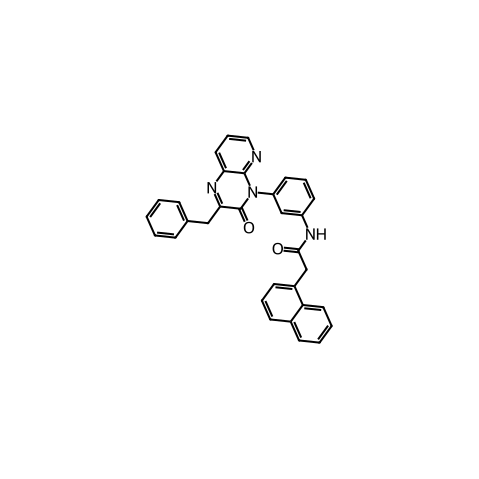 O=C(Cc1cccc2ccccc12)Nc1cccc(-n2c(=O)c(Cc3ccccc3)nc3cccnc32)c1